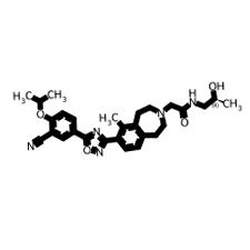 Cc1c(-c2noc(-c3ccc(OC(C)C)c(C#N)c3)n2)ccc2c1CCN(CC(=O)NC[C@@H](C)O)CC2